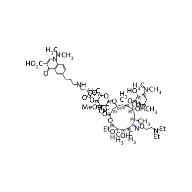 CC[C@@H]1OC(=O)[C@H](C)[C@@H](O[C@H]2C[C@@](C)(OC)[C@@H](OS(=O)(=O)CCNCCCc3ccc4c(c3)c(=O)c(C(=O)O)cn4N(C)C)[C@H](C)O2)[C@H](C)[C@H](O[C@H]2O[C@H](C)C[C@H](N(C)C)[C@H]2O)[C@](C)(O)C[C@@H](C)/C(=N\OCCN(CC)CC)[C@@H](C)[C@H](O)C1(C)O